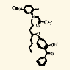 [C-]#[N+]c1ccc(C)c(N(CCCC(CCCC)Oc2ccc(C(=O)c3ccccc3)c(O)c2)CC(=O)O)c1